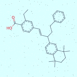 CCc1cc(C=CC(CCc2ccccc2)c2ccc3c(c2)C(C)(C)CCC3(C)C)ccc1C(=O)O